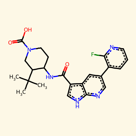 CC(C)(C)C1CN(C(=O)O)CCC1NC(=O)c1c[nH]c2ncc(-c3cccnc3F)cc12